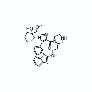 COC[C@]1(O)CCCC[C@H]1n1cnc(C(=O)N2CCNC[C@H]2CCNc2nc3ccccc3s2)c1-c1ccccc1